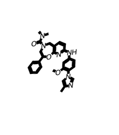 COc1cc(Nc2ccc3c(n2)OC(c2ccccc2)CN(C(=O)N(C)C)C3)ccc1-n1cnc(C)c1